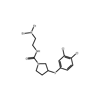 CCN(CC)CCNC(=O)N1CCC(Sc2ccc(Cl)c(Cl)c2)C1